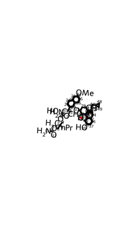 CCCC(C)(COC(N)=O)COC(N)=O.COc1ccc2cc([C@H](C)C(=O)O)ccc2c1.O=C1CC[C@@]2(O)[C@H]3Cc4ccc(O)c5c4[C@@]2(CCN3CC2CC2)[C@H]1O5